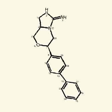 N=C1NCC2CO[C@H](c3ccc(-c4ccccc4)cc3)CN12